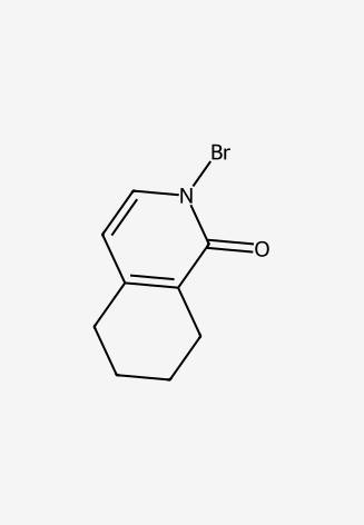 O=c1c2c(ccn1Br)CCCC2